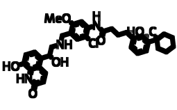 COc1cc(NC(=O)CCCc2cccc(C3(C(=O)O)CCCCC3)c2)c(Cl)cc1CNCC(O)c1ccc(O)c2[nH]c(=O)ccc12